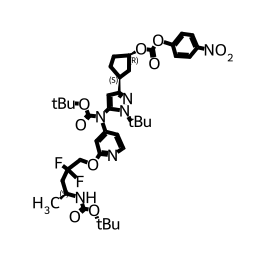 C[C@@H](CC(F)(F)COc1cc(N(C(=O)OC(C)(C)C)c2cc([C@H]3CC[C@@H](OC(=O)Oc4ccc([N+](=O)[O-])cc4)C3)nn2C(C)(C)C)ccn1)NC(=O)OC(C)(C)C